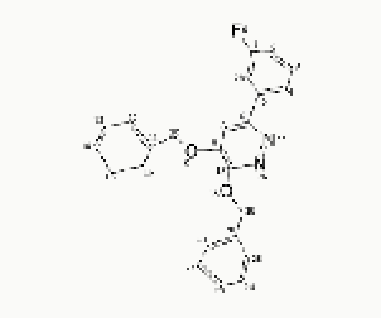 Fc1cccc(-c2cc(OCC3=CC=CCC3)c(OCc3ccccc3)nn2)c1